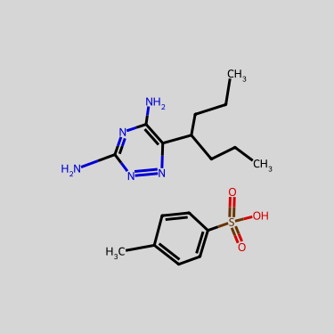 CCCC(CCC)c1nnc(N)nc1N.Cc1ccc(S(=O)(=O)O)cc1